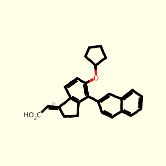 O=C(O)/C=C1\CCc2c1ccc(OC1CCCC1)c2-c1ccc2ccccc2c1